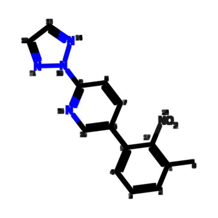 Cc1[c]ccc(-c2ccc(-n3nccn3)nc2)c1[N+](=O)[O-]